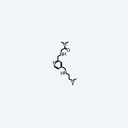 CN(C)CCNCc1ccnc(CNCC(=O)N(C)C)c1